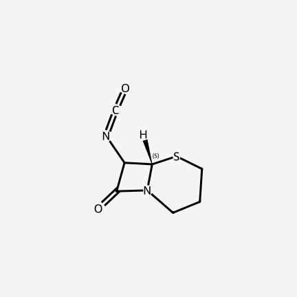 O=C=NC1C(=O)N2CCCS[C@@H]12